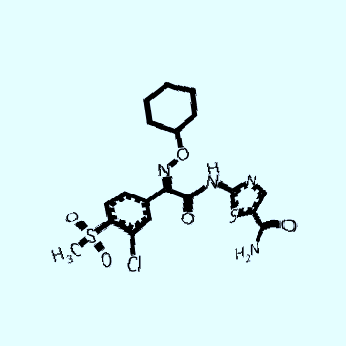 CS(=O)(=O)c1ccc(C(=NOC2CCCCC2)C(=O)Nc2ncc(C(N)=O)s2)cc1Cl